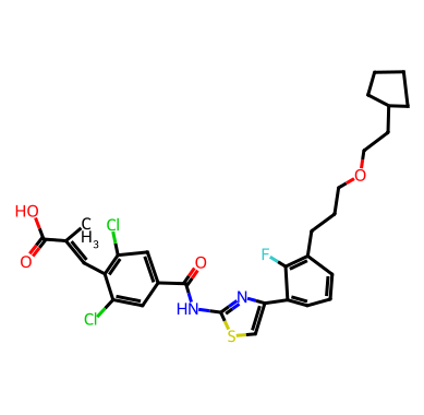 CC(=Cc1c(Cl)cc(C(=O)Nc2nc(-c3cccc(CCCOCCC4CCCC4)c3F)cs2)cc1Cl)C(=O)O